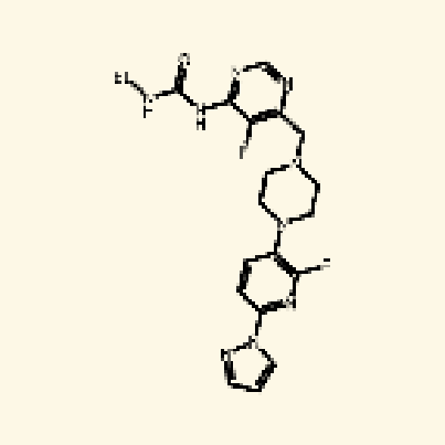 CCNC(=O)Nc1ncnc(CN2CCN(c3ccc(-n4cccn4)nc3F)CC2)c1F